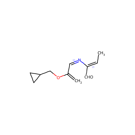 C=C(/C=N\C(C=O)=C/C)OCC1CC1